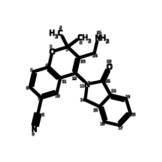 CC1(C)Oc2ccc(C#N)cc2C(N2Cc3ccccc3C2=O)=C1CN